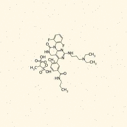 CC(S(=O)(=O)O)S(=O)(=O)O.CCCNC(=O)c1ccc(C)c(-c2nc(NCCCN(CC)CC)nc3c2CNC(=O)N3c2c(F)cccc2F)c1